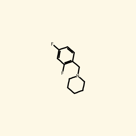 Fc1ccc(CN2CCCCC2)c(F)c1